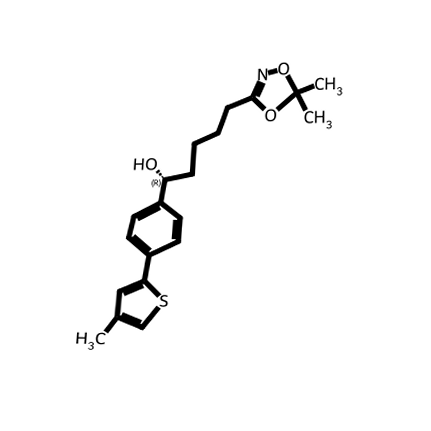 Cc1csc(-c2ccc([C@H](O)CCCCC3=NOC(C)(C)O3)cc2)c1